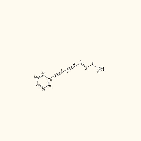 OCC=CC#CC#Cc1ccccc1